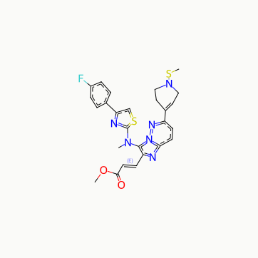 COC(=O)/C=C/c1nc2ccc(C3=CCN(SC)CC3)nn2c1N(C)c1nc(-c2ccc(F)cc2)cs1